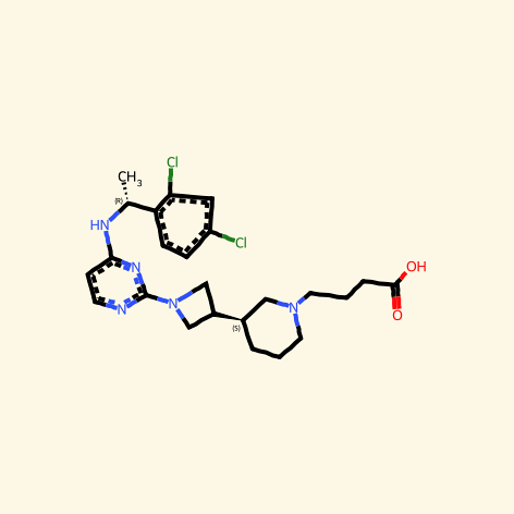 C[C@@H](Nc1ccnc(N2CC([C@@H]3CCCN(CCCC(=O)O)C3)C2)n1)c1ccc(Cl)cc1Cl